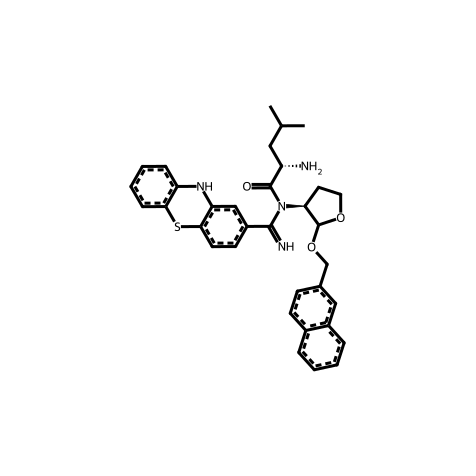 CC(C)C[C@H](N)C(=O)N(C(=N)c1ccc2c(c1)Nc1ccccc1S2)[C@H]1CCOC1OCc1ccc2ccccc2c1